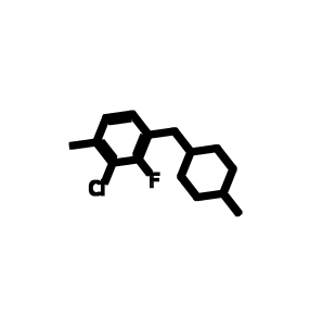 Cc1ccc(CC2CCC(C)CC2)c(F)c1Cl